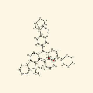 CC1(C)c2ccccc2-c2ccc(N(c3ccc(C4CCCCC4)cc3)c3ccc(C4CC5CC[C@H]4C5)cc3)c(-c3ccccc3)c21